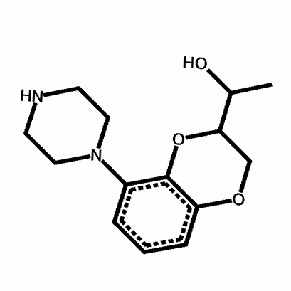 CC(O)C1COc2cccc(N3CCNCC3)c2O1